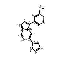 Oc1cccc(-c2cnc3cnc(-c4ccco4)cn23)c1